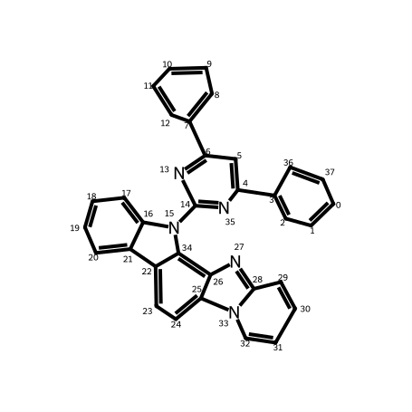 c1ccc(-c2cc(-c3ccccc3)nc(-n3c4ccccc4c4ccc5c(nc6ccccn65)c43)n2)cc1